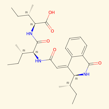 CC[C@H](C)[C@H](NC(=O)[C@@H](NC(=O)C=C1c2ccccc2C(=O)N[C@H]1[C@@H](C)CC)[C@@H](C)CC)C(=O)O